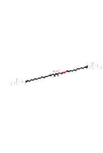 CCCCC=CCCCCCCCCC=CCCCOCOCOCCCC=CCCCCCCCCC=CCCCC